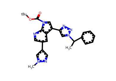 CC(c1ccccc1)n1cc(-c2cn(C(=O)OC(C)(C)C)c3ncc(-c4cnn(C)c4)cc23)nn1